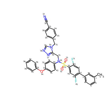 Cc1cccc(-c2cc(F)c(S(=O)(=O)N(Cc3nncn3Cc3ccc(C#N)cc3)c3ccc(Oc4ccccc4)cc3)cc2F)c1